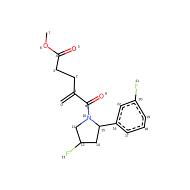 C=C(CCC(=O)OC)C(=O)N1CC(F)CC1c1cccc(F)c1